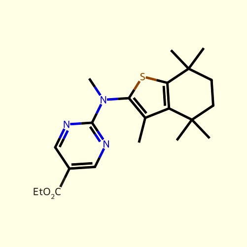 CCOC(=O)c1cnc(N(C)c2sc3c(c2C)C(C)(C)CCC3(C)C)nc1